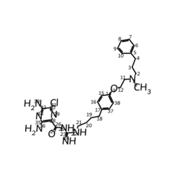 CN(CCCc1ccccc1)CCOc1ccc(CCCCNC(=N)NC(=O)c2nc(Cl)c(N)nc2N)cc1